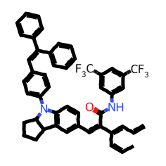 C=C/C=C(\C=C/C)C(=C/c1ccc2c(c1)C1CCCC1N2c1ccc(C=C(c2ccccc2)c2ccccc2)cc1)/C(=O)Nc1cc(C(F)(F)F)cc(C(F)(F)F)c1